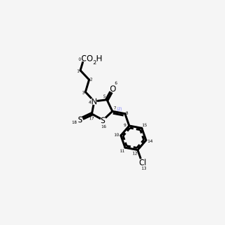 O=C(O)CCCN1C(=O)/C(=C/c2ccc(Cl)cc2)SC1=S